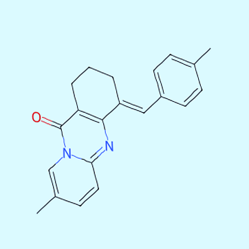 Cc1ccc(C=C2CCCc3c2nc2ccc(C)cn2c3=O)cc1